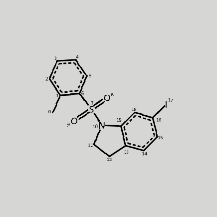 Cc1ccccc1S(=O)(=O)N1CCc2ccc(I)cc21